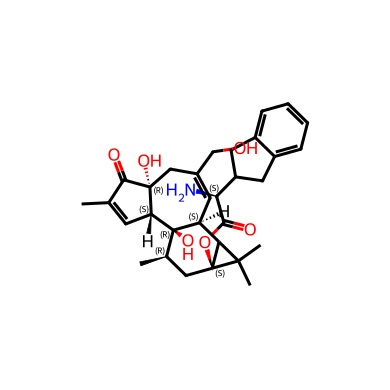 CC1=C[C@H]2[C@@]3(O)[C@H](C)C[C@]4(OC(=O)[C@@H](N)C5Cc6ccccc6C5)C([C@@H]3C=C(CO)C[C@]2(O)C1=O)C4(C)C